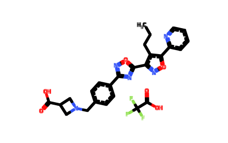 CCCc1c(-c2nc(-c3ccc(CN4CC(C(=O)O)C4)cc3)no2)noc1-c1ccccn1.O=C(O)C(F)(F)F